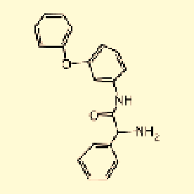 NC(C(=O)Nc1cccc(Oc2ccccc2)c1)c1ccccc1